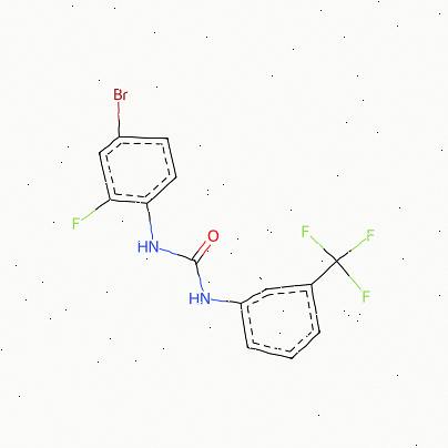 O=C(Nc1cccc(C(F)(F)F)c1)Nc1ccc(Br)cc1F